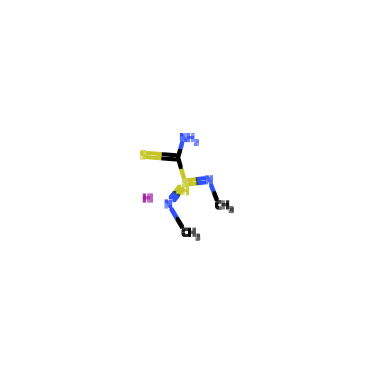 C/N=[SH](=N\C)/C(N)=S.I